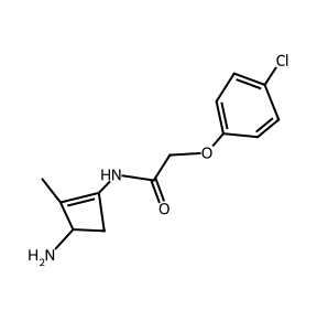 CC1=C(NC(=O)COc2ccc(Cl)cc2)CC1N